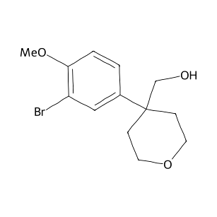 COc1ccc(C2(CO)CCOCC2)cc1Br